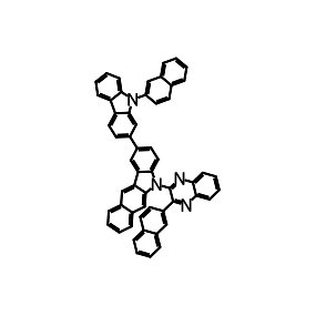 c1ccc2cc(-c3nc4ccccc4nc3-n3c4ccc(-c5ccc6c7ccccc7n(-c7ccc8ccccc8c7)c6c5)cc4c4cc5ccccc5cc43)ccc2c1